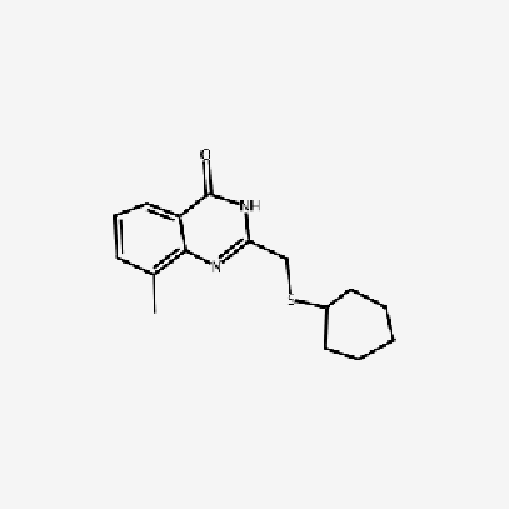 Cc1cccc2c(=O)[nH]c(CSC3CCCCC3)nc12